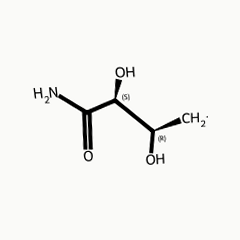 [CH2][C@@H](O)[C@H](O)C(N)=O